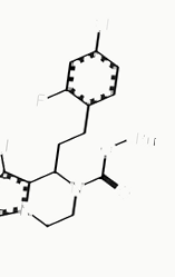 CC(C)(C)OC(=O)N1CCn2c(C3CC3)nc(Cl)c2C1CCc1ccc(C(F)(F)F)cc1F